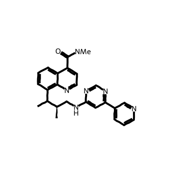 CNC(=O)c1ccnc2c(C(C)[C@H](C)CNc3cc(-c4cccnc4)ncn3)cccc12